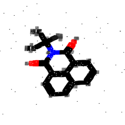 CCC(C)(C)N1C(=O)c2cccc3cccc(c23)C1=O